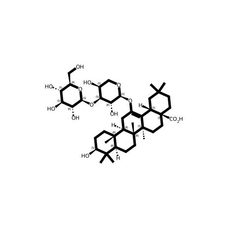 CC1(C)CC[C@]2(C(=O)O)CC[C@]3(C)C(=C(O[C@@H]4OC[C@H](O)[C@H](O[C@@H]5O[C@H](CO)[C@@H](O)[C@H](O)[C@H]5O)[C@H]4O)C[C@@H]4[C@@]5(C)CC[C@H](O)C(C)(C)[C@@H]5CC[C@]43C)[C@@H]2C1